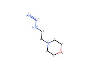 N=NNCCN1CCOCC1